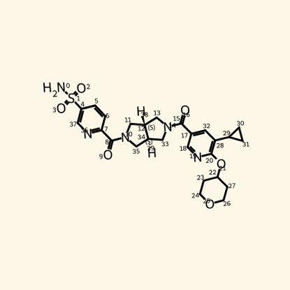 NS(=O)(=O)c1ccc(C(=O)N2C[C@@H]3CN(C(=O)c4cnc(OC5CCOCC5)c(C5CC5)c4)C[C@H]3C2)nc1